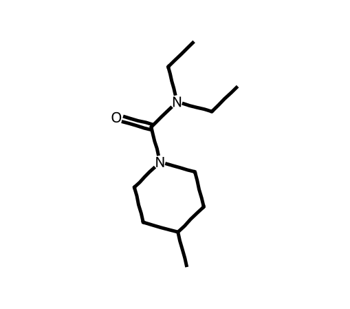 CCN(CC)C(=O)N1CCC(C)CC1